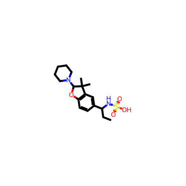 CCC(NS(=O)(=O)O)c1ccc2c(c1)C(C)(C)C(N1CCCCC1)O2